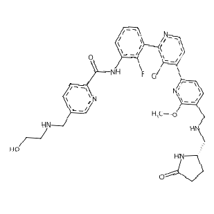 COc1nc(-c2ccnc(-c3cccc(NC(=O)c4ccc(CNCCO)cn4)c3F)c2Cl)ccc1CNC[C@@H]1CCC(=O)N1